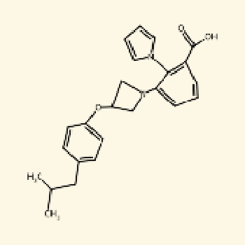 CC(C)Cc1ccc(OC2CN(c3cccc(C(=O)O)c3-n3cccc3)C2)cc1